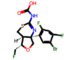 O=C(O)NC1=N[C@@]2(c3cc(Br)c(F)cc3F)CO[C@H](CF)[C@H]2CS1